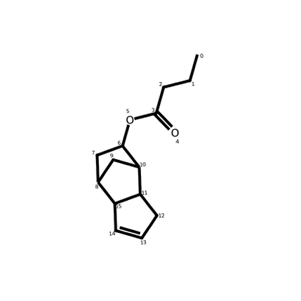 CCCC(=O)OC1CC2CC1C1CC=CC21